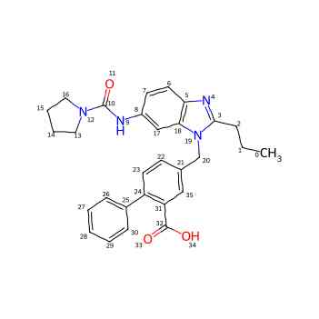 CCCc1nc2ccc(NC(=O)N3CCCC3)cc2n1Cc1ccc(-c2ccccc2)c(C(=O)O)c1